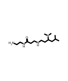 CC(C)CC(CCNCCC(=O)NCCN)N(C)C